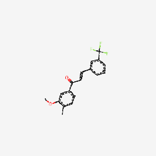 COc1cc(C(=O)/C=C/c2cccc(C(F)(F)F)c2)ccc1C